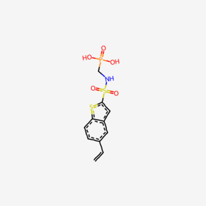 C=Cc1ccc2sc(S(=O)(=O)NCP(=O)(O)O)cc2c1